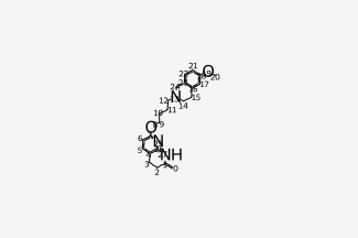 C=C1CCc2ccc(OCCCCN3CCc4cc(OC)ccc4C3)nc2N1